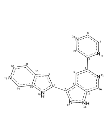 c1cnc(-c2cc3c(-c4cc5ccncc5[nH]4)n[nH]c3cn2)cn1